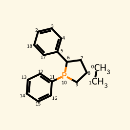 CC.c1ccc(C2CCCP2c2ccccc2)cc1